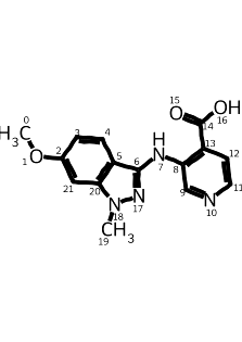 COc1ccc2c(Nc3cnccc3C(=O)O)nn(C)c2c1